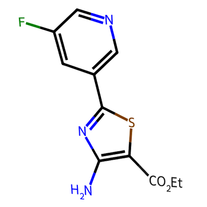 CCOC(=O)c1sc(-c2cncc(F)c2)nc1N